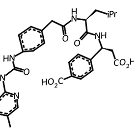 Cc1ccc(NC(=O)Nc2ccc(CC(=O)N[C@@H](CC(C)C)C(=O)N[C@@H](CC(=O)O)c3ccc(C(=O)O)cc3)cc2)nc1